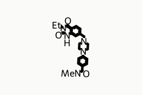 CCn1c(=O)[nH]c2cc(CN3CCN(c4ccc(C(=O)NC)cc4)CC3)ccc2c1=O